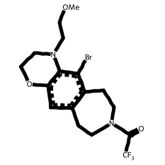 COCCN1CCOc2cc3c(c(Br)c21)CCN(C(=O)C(F)(F)F)CC3